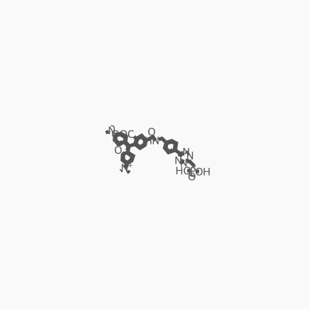 CN(C)c1ccc2c(-c3ccc(C(=O)NCc4ccc(-c5nnc(CP(=O)(O)O)nn5)cc4)cc3C(=O)[O-])c3ccc(=[N+](C)C)cc-3oc2c1